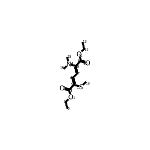 CCOC(=O)C(=CC=C(C(=O)OCC)N(C)C)SC